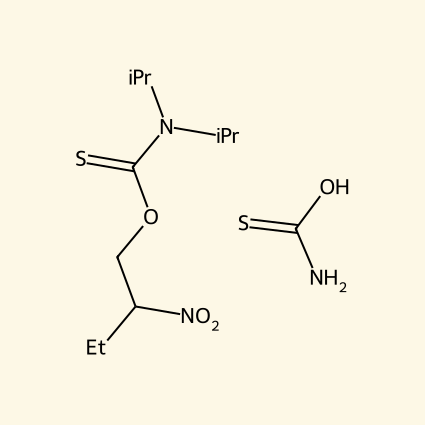 CCC(COC(=S)N(C(C)C)C(C)C)[N+](=O)[O-].NC(O)=S